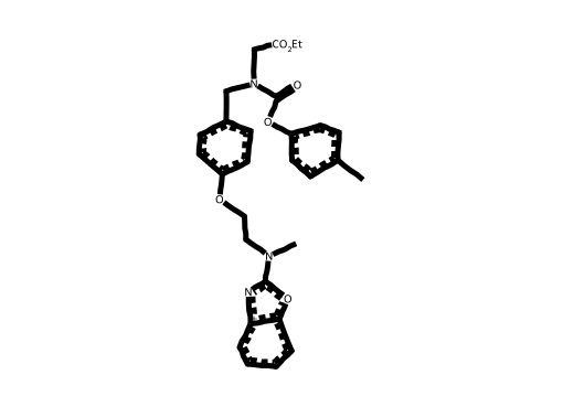 CCOC(=O)CN(Cc1ccc(OCCN(C)c2nc3ccccc3o2)cc1)C(=O)Oc1ccc(C)cc1